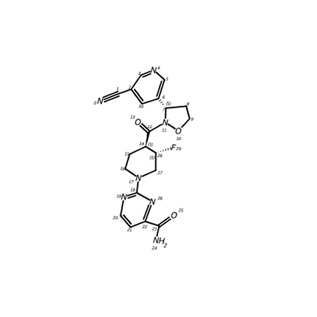 N#Cc1cncc([C@@H]2CCON2C(=O)[C@@H]2CCN(c3nccc(C(N)=O)n3)C[C@H]2F)c1